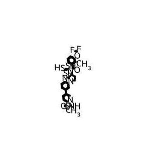 Cc1c(OC(F)F)cccc1C(=O)N([C@@H]1CCn2c1nc1ccc(-c3ccc(S(C)(=N)=O)nc3)cc12)C(S)(S)S